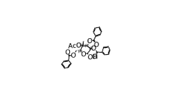 CC(=O)O[C@@]1(C)[C@H](OC(=O)c2ccccc2)[C@@H](OC(=O)c2ccccc2)C(O)O[C@@H]1COC(=O)c1ccccc1